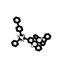 c1ccc(-c2ccc(-c3nc(-c4ccccc4)nc(-c4ccc5c(c4)Oc4ccccc4C54c5ccccc5-n5c6ccccc6c6cccc4c65)n3)cc2)cc1